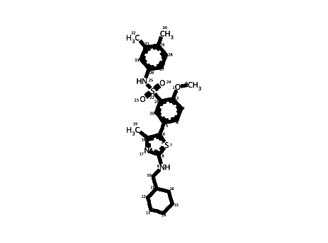 COc1ccc(-c2sc(NCC3CCCCC3)nc2C)cc1S(=O)(=O)Nc1ccc(C)c(C)c1